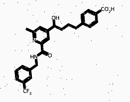 Cc1cc(C(O)CCCc2ccc(C(=O)O)cc2)cc(C(=O)NCc2cccc(C(F)(F)F)c2)n1